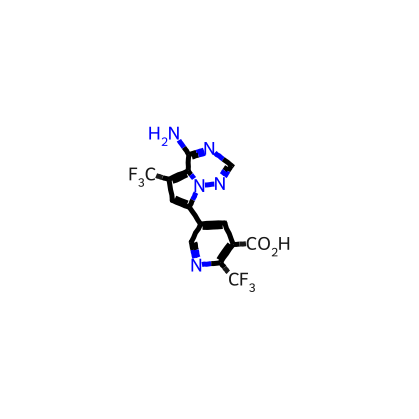 Nc1ncnn2c(-c3cnc(C(F)(F)F)c(C(=O)O)c3)cc(C(F)(F)F)c12